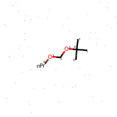 CCCOCOC(C)(C)C